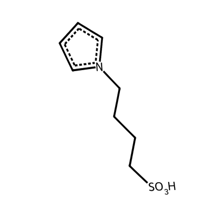 O=S(=O)(O)CCCCn1cccc1